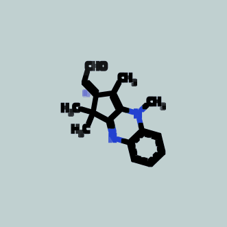 CC1=C2C(=Nc3ccccc3N2C)C(C)(C)/C1=C/C=O